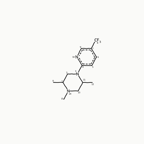 CC1CN(c2ccc(C(F)(F)F)cn2)C(C)CN1C